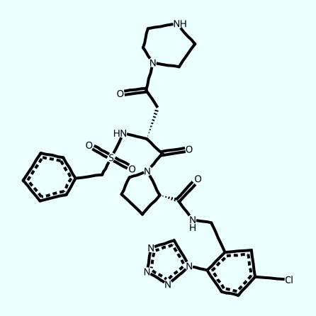 O=C(NCc1cc(Cl)ccc1-n1cnnn1)[C@@H]1CCCN1C(=O)[C@@H](CC(=O)N1CCNCC1)NS(=O)(=O)Cc1ccccc1